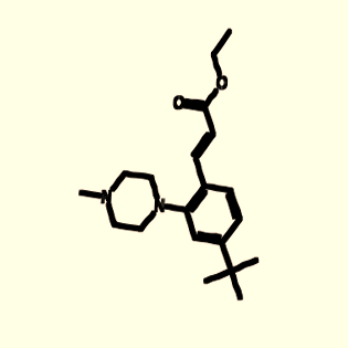 CCOC(=O)C=Cc1ccc(C(C)(C)C)cc1N1CCN(C)CC1